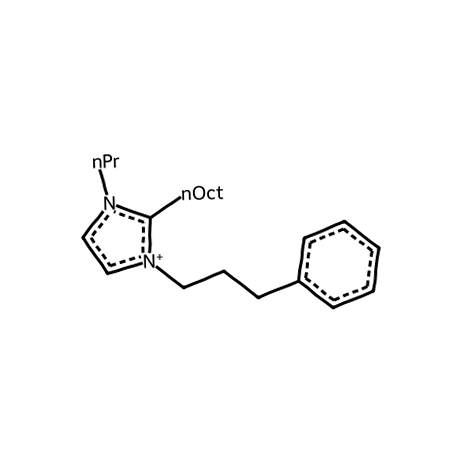 CCCCCCCCc1n(CCC)cc[n+]1CCCc1ccccc1